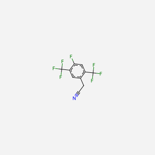 N#CCc1cc(C(F)(F)F)c(F)cc1C(F)(F)F